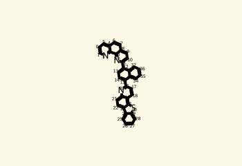 c1cnc2c(c1)ccc1ccc(-c3ccc(-c4ccc5c(ccc6c7ccccc7sc56)n4)c4ccccc34)nc12